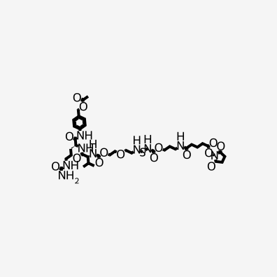 CC(=O)OCc1ccc(NC(=O)[C@@H](CCCNC(N)=O)NC(=O)[C@H](NC(=O)OCCOCCNSNC(=O)OCCCNC(=O)CCCC(=O)ON2C(=O)CCC2=O)C(C)C)cc1